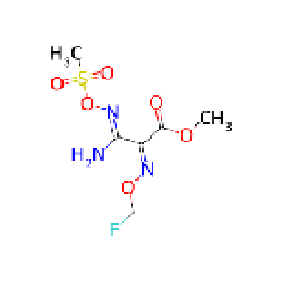 COC(=O)C(=NOCF)C(N)=NOS(C)(=O)=O